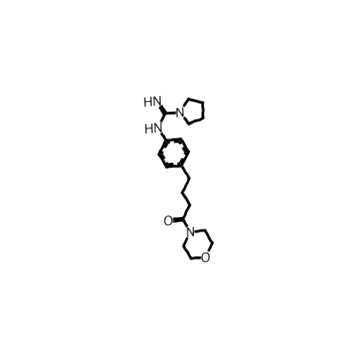 N=C(Nc1ccc(CCCC(=O)N2CCOCC2)cc1)N1CCCC1